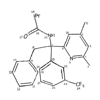 Cc1cc(C)nc(C(Cc2ccccc2)(NC(=O)C(C)C)c2cccc(C(F)(F)F)c2)c1